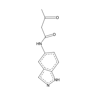 CC(=O)CC(=O)Nc1ccc2[nH]ncc2c1